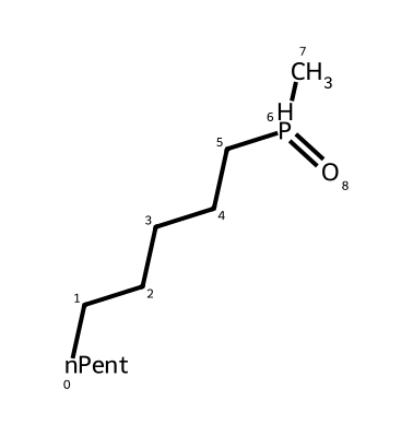 CCCCCCCCCC[PH](C)=O